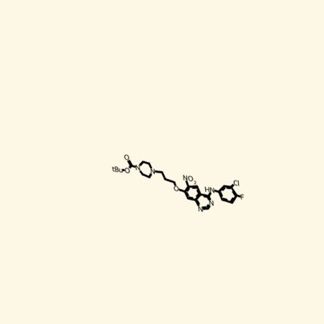 CC(C)(C)OC(=O)N1CCN(CCCOc2cc3ncnc(Nc4ccc(F)c(Cl)c4)c3cc2[N+](=O)[O-])CC1